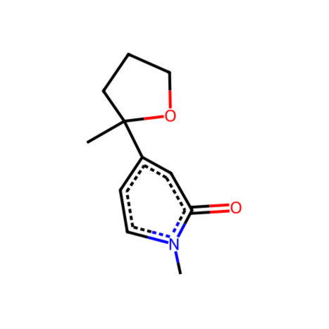 Cn1ccc(C2(C)CCCO2)cc1=O